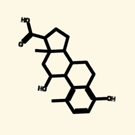 Cc1ccc(O)c2c1C1C(O)CC3(C)C(C(=O)O)CCC3C1CC2